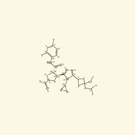 COC1(CC(C)C)CC(c2nnc([C@H]3CN(C(C)=O)C[C@@H]3C(=O)Nc3ccc(C)cc3C)n2C2CC2)C1